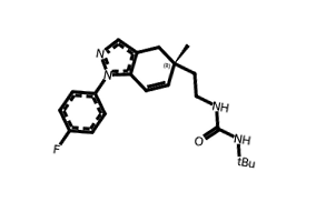 CC(C)(C)NC(=O)NCC[C@]1(C)C=Cc2c(cnn2-c2ccc(F)cc2)C1